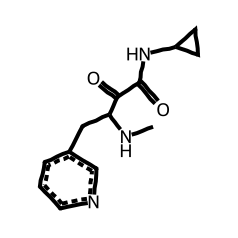 CNC(Cc1cccnc1)C(=O)C(=O)NC1CC1